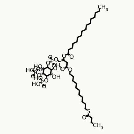 CCCCCCCCCCCCCCCC(=O)O[C@@H](COP(=O)(O)OC1C(O)[C@H](O)C(OP(=O)(O)O)[C@H](OP(=O)(O)O)[C@@H]1O)CC(=O)OCCCCCCCCCCCSC(=O)CCC